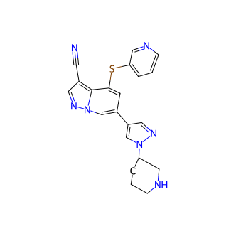 N#Cc1cnn2cc(-c3cnn(C4CCCNC4)c3)cc(Sc3cccnc3)c12